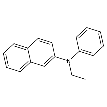 CCN(c1ccccc1)c1ccc2ccccc2c1